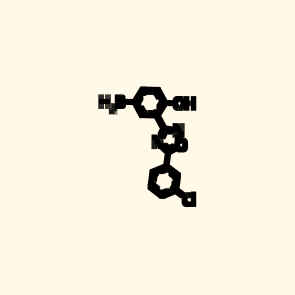 Bc1ccc(O)c(-c2noc(-c3cccc(Cl)c3)n2)c1